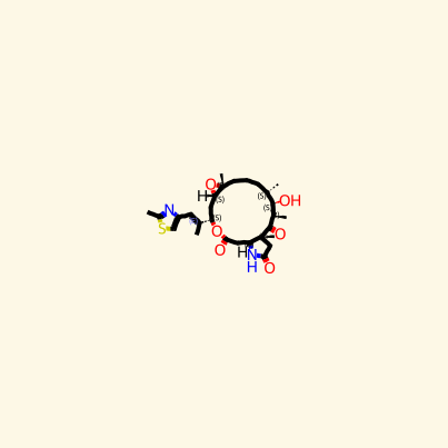 C/C(=C\c1csc(C)n1)[C@@H]1C[C@@H]2O[C@]2(C)CCC[C@H](C)[C@H](O)[C@@H](C)C(=O)[C@]2(C)CC(=O)N[C@H]2CC(=O)O1